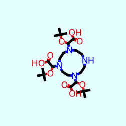 CC(C)(C)OC(C(=O)O)N1CCNCCN(C(OC(C)(C)C)C(=O)O)CCN(C(OC(C)(C)C)C(=O)O)CC1